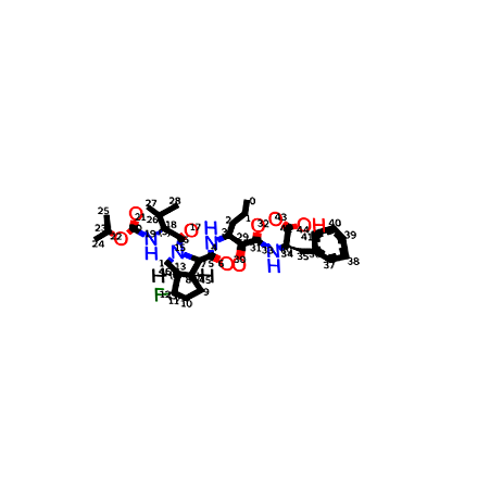 CCCC(NC(=O)C1[C@H]2CC[C@H](F)[C@H]2CN1C(=O)[C@@H](NC(=O)OC(C)C)C(C)C)C(=O)C(=O)N[C@H](Cc1ccccc1)C(=O)O